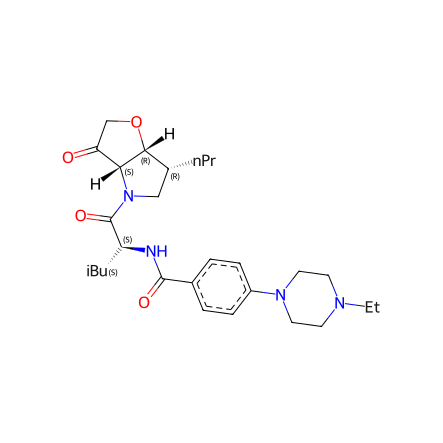 CCC[C@@H]1CN(C(=O)[C@@H](NC(=O)c2ccc(N3CCN(CC)CC3)cc2)[C@@H](C)CC)[C@@H]2C(=O)CO[C@H]12